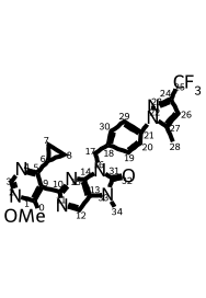 COc1ncnc(C2CC2)c1-c1ncc2c(n1)n(Cc1ccc(-n3nc(C(F)(F)F)cc3C)cc1)c(=O)n2C